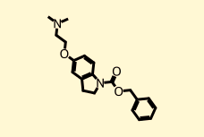 CN(C)CCOc1ccc2c(c1)CCN2C(=O)OCc1ccccc1